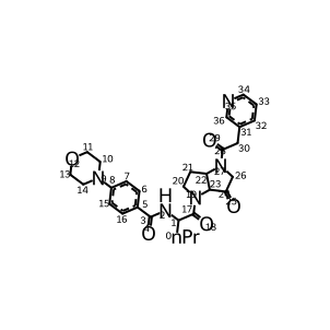 CCCC(NC(=O)c1ccc(N2CCOCC2)cc1)C(=O)N1CCC2C1C(=O)CN2C(=O)Cc1cccnc1